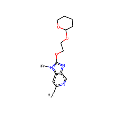 Cc1cc2c(cn1)nc(OCCOC1CCCCO1)n2C(C)C